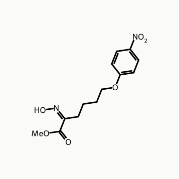 COC(=O)C(CCCCOc1ccc([N+](=O)[O-])cc1)=NO